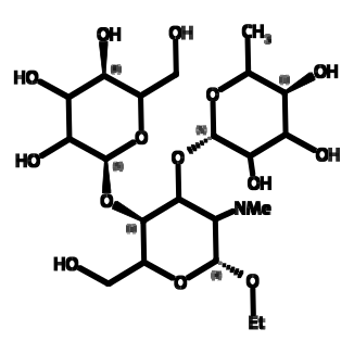 CCO[C@@H]1OC(CO)[C@@H](O[C@@H]2OC(CO)[C@H](O)C(O)C2O)C(O[C@@H]2OC(C)[C@@H](O)C(O)C2O)C1NC